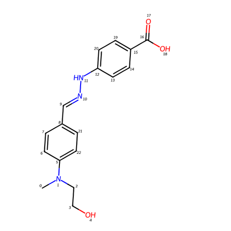 CN(CCO)c1ccc(C=NNc2ccc(C(=O)O)cc2)cc1